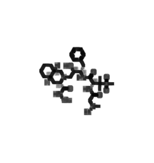 CCN(C)CC(=O)N[C@H](C(=O)N[C@@H](Cc1ccccc1)[C@H](O)CN1C[C@H]2CCCC[C@H]2C[C@H]1C(=O)NC(C)(C)C)C(C)(C)S(C)(=O)=O